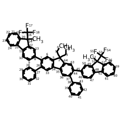 CCC1(CC)c2cc(-c3ccc4c(c3)C(C)(C(F)(F)F)c3ccccc3-4)c(-c3ccccc3)cc2-c2cc(-c3ccccc3)c(-c3ccc4c(c3)C(C)(C(F)(F)F)c3ccccc3-4)cc21